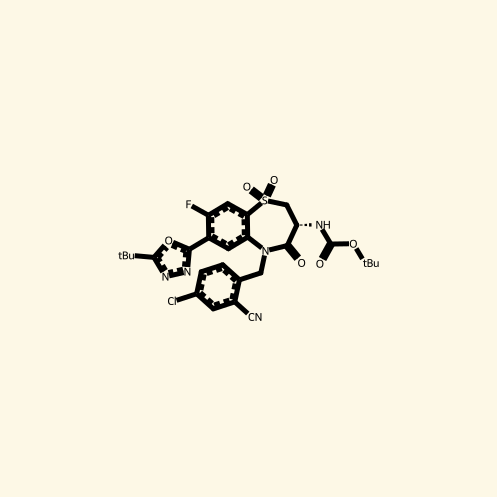 CC(C)(C)OC(=O)N[C@H]1CS(=O)(=O)c2cc(F)c(-c3nnc(C(C)(C)C)o3)cc2N(Cc2ccc(Cl)cc2C#N)C1=O